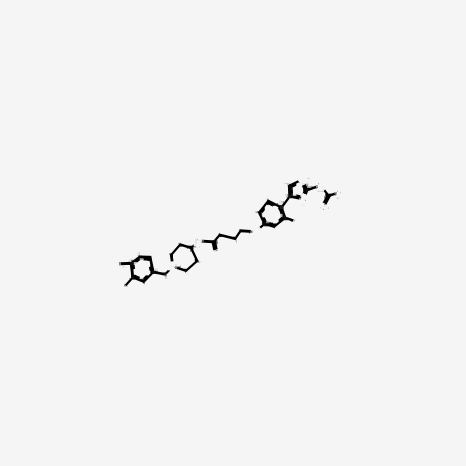 Cc1cc(OCCCC(=O)NC2CCN(Cc3ccc(Cl)c(Cl)c3)CC2)ccc1-c1csc(NC(=N)N)n1